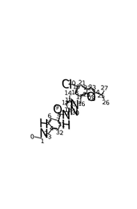 CCNCc1ccc(C(=O)Nc2cc(C)n(Cc3cc(Cl)cc4cc(C(C)C)oc34)n2)cc1